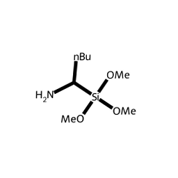 CCCCC(N)[Si](OC)(OC)OC